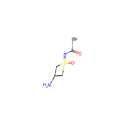 CC(C)(C)C(=O)N=S1(=O)CC(N)C1